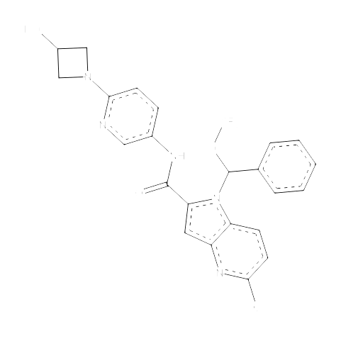 O=C(Nc1ccc(N2CC(O)C2)nc1)c1cc2nc(C(F)(F)F)ccc2n1C(OC(F)(F)F)c1ccccc1